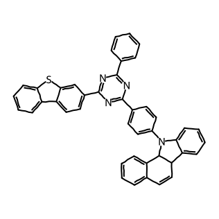 C1=CC2c3ccccc3N(c3ccc(-c4nc(-c5ccccc5)nc(-c5ccc6c(c5)sc5ccccc56)n4)cc3)C2c2ccccc21